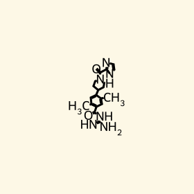 Cc1cc(C2CCN(C(=O)c3ncc[nH]3)CC2)c(C)cc1C(=O)NC(=N)N